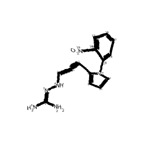 NC(N)=NNC=C=Cc1cccn1-c1ccccc1[N+](=O)[O-]